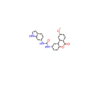 COc1ccc2c(=O)oc3ccc(NC(=O)Nc4ccc5cc[nH]c5c4)cc3c2c1